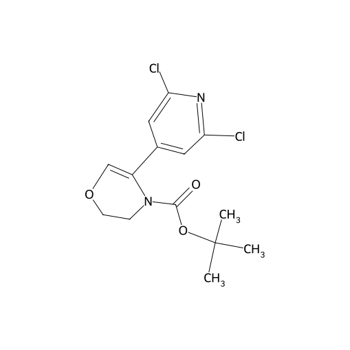 CC(C)(C)OC(=O)N1CCOC=C1c1cc(Cl)nc(Cl)c1